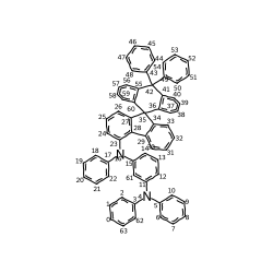 c1ccc(N(c2ccccc2)c2cccc(N(c3ccccc3)c3cccc4c3-c3ccccc3C43c4ccccc4C(c4ccccc4)(c4ccccc4)c4ccccc43)c2)cc1